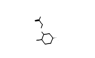 CCC(=O)COC1CC([C@H](C)CC)CCC1C